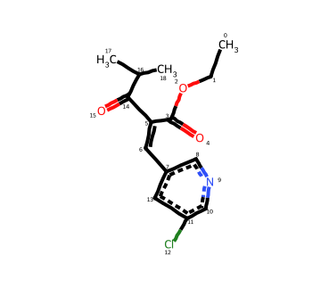 CCOC(=O)C(=Cc1cncc(Cl)c1)C(=O)C(C)C